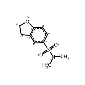 CN(C)S(=O)(=O)c1ccc2c(c1)CCO2